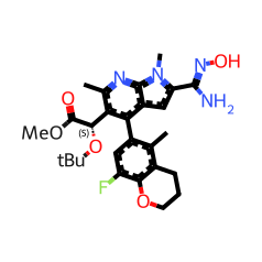 COC(=O)[C@@H](OC(C)(C)C)c1c(C)nc2c(cc(C(N)=NO)n2C)c1-c1cc(F)c2c(c1C)CCCO2